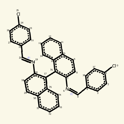 Clc1ccc(/C=N\c2ccc3ccccc3c2-c2c(/N=C/c3ccc(Cl)cc3)ccc3ccccc23)cc1